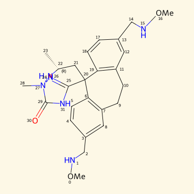 CONCc1ccc2c(c1)CCc1cc(CNOC)ccc1C2(C[C@@H](C)N)c1nn(C)c(=O)[nH]1